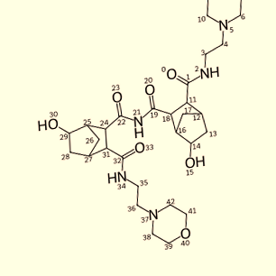 O=C(NCCN1CCOCC1)C1C2CC(O)C(C2)C1C(=O)NC(=O)C1C2CC(CC2O)C1C(=O)NCCN1CCOCC1